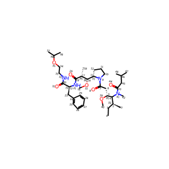 CC[C@H](C)C([C@@H](CC(=O)N1CCC[C@H]1[C@H](OC)[C@@H](C)C(=O)N[C@@H](Cc1ccccc1)C(=O)NCCOC(C)C)OC)N(C)C(=O)CC(C)C